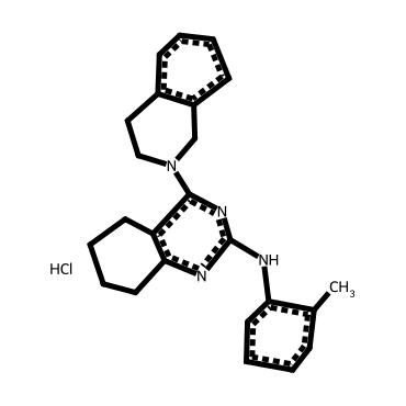 Cc1ccccc1Nc1nc2c(c(N3CCc4ccccc4C3)n1)CCCC2.Cl